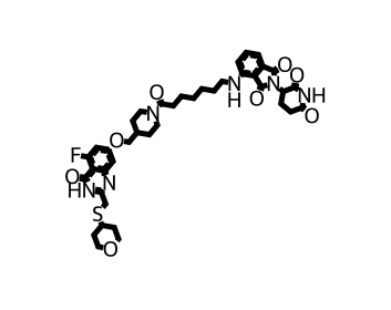 O=C1CCC(N2C(=O)c3cccc(NCCCCCCC(=O)N4CCC(COc5cc(F)c6c(=O)[nH]c(CSC7CCOCC7)nc6c5)CC4)c3C2=O)C(=O)N1